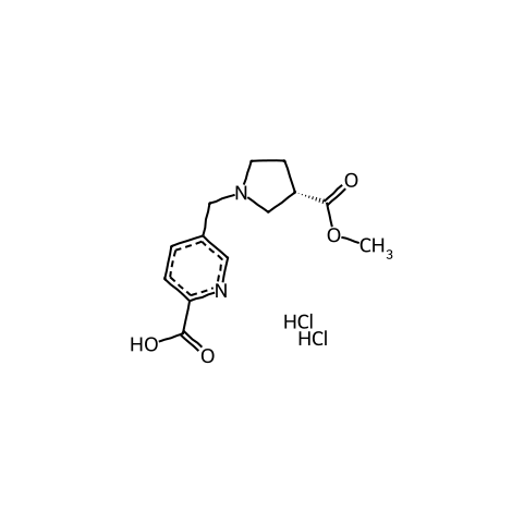 COC(=O)[C@H]1CCN(Cc2ccc(C(=O)O)nc2)C1.Cl.Cl